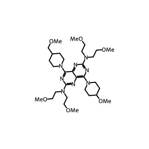 COCCN(CCOC)c1nc(N2CCC(OC)CC2)c2nc(N(CCOC)CCOC)nc(N3CCC(COC)CC3)c2n1